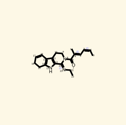 C/C=C\C=C(/C)C(=O)N1CCc2c([nH]c3c2C=CCC3)/C1=N/CC